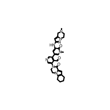 CN1CCn2nc(Nc3cc(-c4cncc(N5CCn6c(cc7c6CCCC7)C5=O)c4C=O)cn(C)c3=O)cc2C1